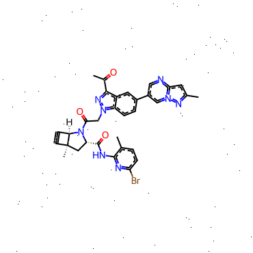 CC(=O)c1nn(CC(=O)N2[C@H](C(=O)Nc3nc(Br)ccc3C)C[C@@]3(C)C#C[C@@H]23)c2ccc(-c3cnc4cc(C)nn4c3)cc12